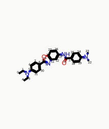 CCN(CC)c1ccc(-c2nc3cc(NC(=O)c4ccc(N(C)C)cc4)ccc3o2)cc1